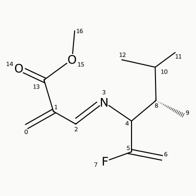 C=C(C=NC(C(=C)F)[C@@H](C)C(C)C)C(=O)OC